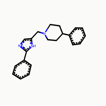 c1ccc(-c2ncc(CN3CCC(c4ccccc4)CC3)[nH]2)cc1